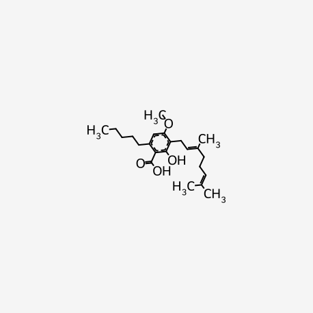 CCCCCc1cc(OC)c(C/C=C(\C)CCC=C(C)C)c(O)c1C(=O)O